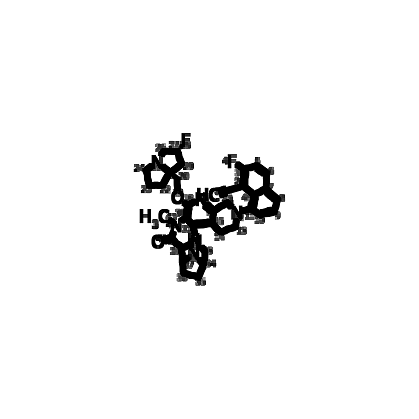 C#Cc1c(F)ccc2cccc(N3CCc4c(nc(OC[C@@]56CCCN5C[C@H](F)C6)c5c4N4CC6CCC(N6)C4C(=O)N5C)C3)c12